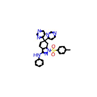 Cc1ccc(S(=O)(=O)n2nc(Nc3ccccc3)c3c2CC(c2ccncn2)(c2ccncn2)C=C3)cc1